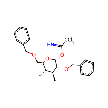 C[C@H]1[C@H](C)[C@@H](COCc2ccccc2)O[C@H](OC(=N)C(Cl)(Cl)Cl)[C@@H]1OCc1ccccc1